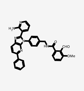 COc1cccc(C(=O)NCc2ccc(-n3c(-c4cccnc4N)nc4ccc(-c5ccccc5)nc43)cc2)c1C=O